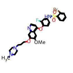 COc1cc2c(Oc3ccc(NS(=O)(=O)c4ccccc4Br)cc3F)ccnc2cc1OCCCN1CCN(C)CC1